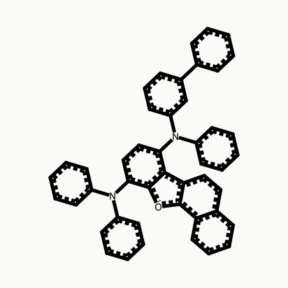 c1ccc(-c2cccc(N(c3ccccc3)c3ccc(N(c4ccccc4)c4ccccc4)c4oc5c6ccccc6ccc5c34)c2)cc1